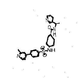 Cc1cc(-c2ccc(S(=O)(=O)N[C@H]3CC[C@H](C(=O)N[C@H](C)c4cccnc4)CC3)cc2)ccn1